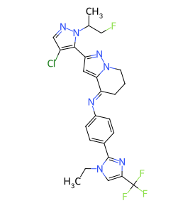 CCn1cc(C(F)(F)F)nc1-c1ccc(/N=C2\CCCn3nc(-c4c(Cl)cnn4C(C)CF)cc32)cc1